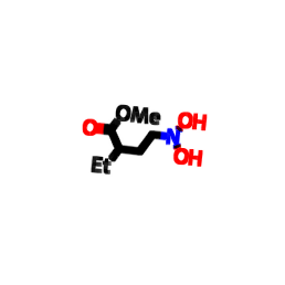 CCC(CCN(O)O)C(=O)OC